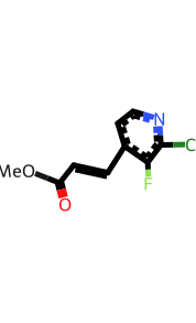 COC(=O)/C=C/c1ccnc(Cl)c1F